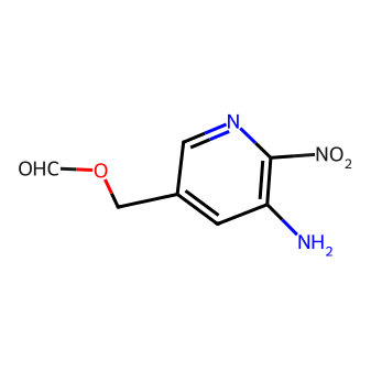 Nc1cc(COC=O)cnc1[N+](=O)[O-]